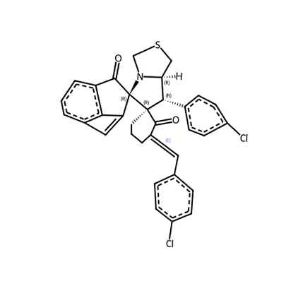 O=C1c2cccc3c2C(=C3)[C@]12N1CSC[C@H]1[C@H](c1ccc(Cl)cc1)[C@]21CCC/C(=C\c2ccc(Cl)cc2)C1=O